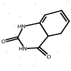 O=C1NC(=O)C2CC=CC=C2N1